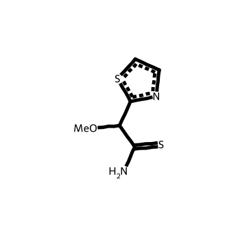 COC(C(N)=S)c1nccs1